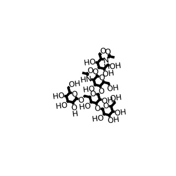 CC(=O)NC(C=O)C(O)C(OC1OC(CO)C(OC2OC(COC3OC(CO)C(O)C(O)C3O)C(O)C(OC3OC(CO)C(O)C(O)C3O)C2O)C(O)C1NC(C)=O)C(O)CO